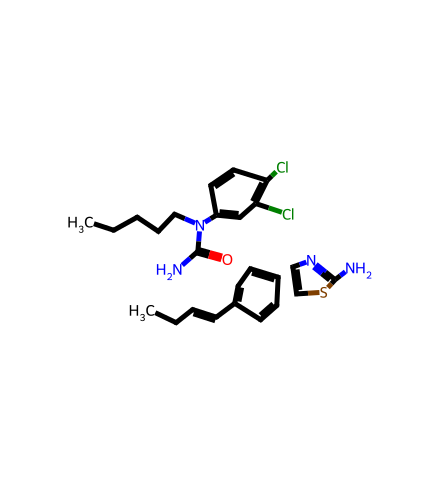 CCC=Cc1ccccc1.CCCCCN(C(N)=O)c1ccc(Cl)c(Cl)c1.Nc1nccs1